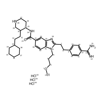 CCOCCCn1c(CCc2ccc(C(=N)N)cc2)nc2cc(C(=O)NN3CCNCC3CCC3CCCCC3)ccc21.Cl.Cl.Cl